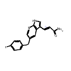 NC(=O)/C=C/c1c[nH]c2ncc(Cc3ccc(F)cc3)cc12